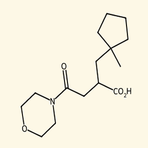 CC1(CC(CC(=O)N2CCOCC2)C(=O)O)CCCC1